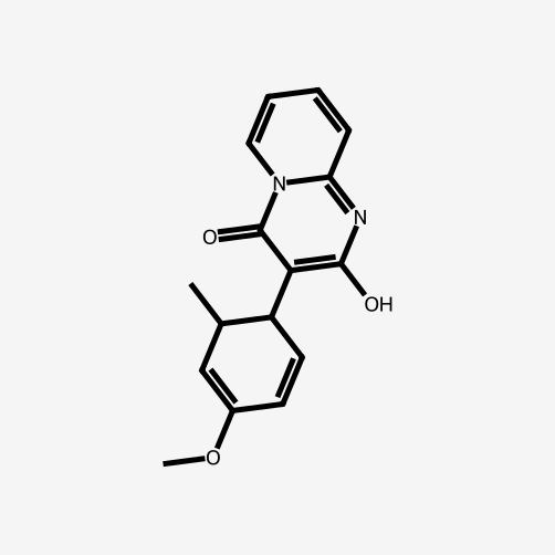 COC1=CC(C)C(c2c(O)nc3ccccn3c2=O)C=C1